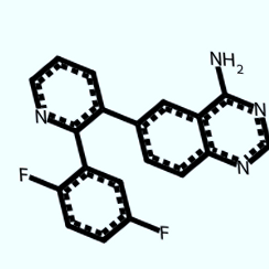 Nc1ncnc2ccc(-c3cccnc3-c3cc(F)ccc3F)cc12